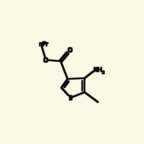 CCCOC(=O)c1csc(C)c1N